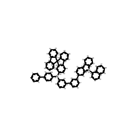 c1ccc(-c2ccc(N(c3cccc(-c4cccc(-c5ccc6c7ccccc7n(-c7cccc8ccccc78)c6c5)c4)c3)c3ccc4c(c3)C3(c5ccccc5-c5ccccc53)c3ccccc3-4)cc2)cc1